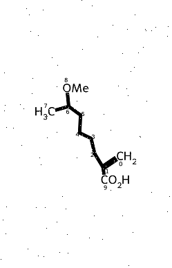 C=C(CCCCC(C)OC)C(=O)O